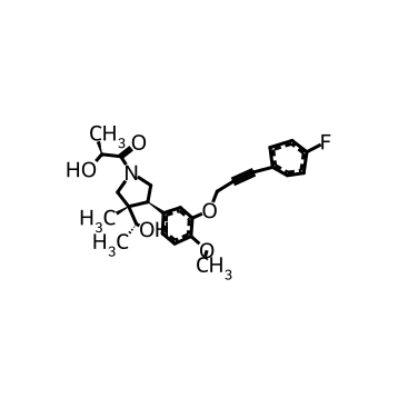 COc1ccc([C@@H]2CN(C(=O)[C@H](C)O)C[C@@]2(C)[C@@H](C)O)cc1OCC#Cc1ccc(F)cc1